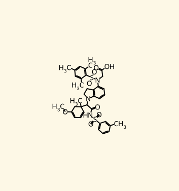 COC1=CC=CC(C)(C(C(=O)NS(=O)(=O)c2cccc(C)c2)N2CCc3c2cccc3N(CC(=O)O)S(=O)(=O)c2c(C)cc(C)cc2C)C1